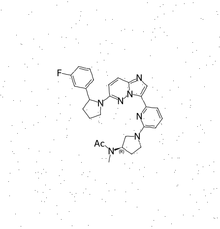 CC(=O)N(C)[C@@H]1CCN(c2cccc(-c3cnc4ccc(N5CCCC5c5cccc(F)c5)nn34)n2)C1